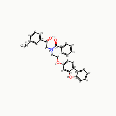 O=C(CN(CCOc1ccc2c(c1)oc1ccccc12)C(=O)c1ccccc1)c1cccc([N+](=O)[O-])c1